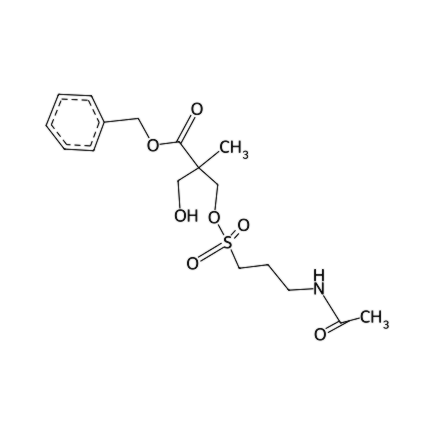 CC(=O)NCCCS(=O)(=O)OCC(C)(CO)C(=O)OCc1ccccc1